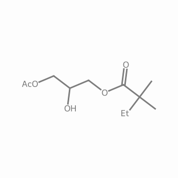 CCC(C)(C)C(=O)OCC(O)COC(C)=O